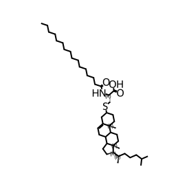 CCCCCCCCCCCCCCCC(=O)N[C@@H](CSC1CC[C@@]2(C)C(=CCC3C2CC[C@@]2(C)C3CC[C@@H]2[C@H](C)CCCC(C)C)C1)C(=O)O